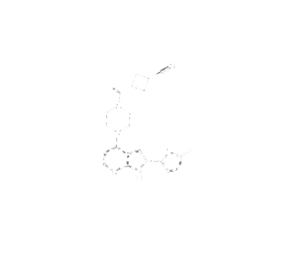 Cc1nc(-c2cc3c(N4CCN(C(=O)[C@H]5C[C@H](C#N)C5)CC4)ccnc3[nH]2)cs1